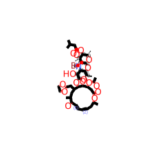 COC1C(OC(C)=O)CC(=O)OC(C)C/C=C\C=C\C(=O)C(C)CC(CC2OCCO2)C1O[C@@H]1O[C@H](C)[C@@H](O[C@@H]2O[C@@H](C)[C@H](OC(=O)CC(C)C)[C@](C)(OC)[C@H]2Br)[C@H](N(C)C)[C@H]1O